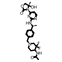 CC(=O)NC1CCN(Cc2ccc([C@H](C)Nc3nccc(N4C(=O)OC[C@]4(C)O)n3)cc2)CC1(F)F